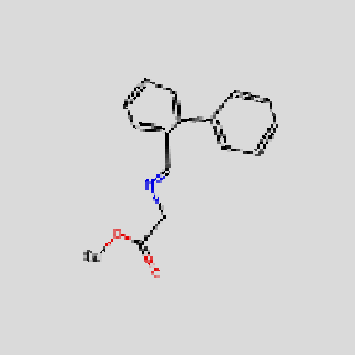 CC(C)(C)OC(=O)CN=Cc1ccccc1-c1ccccc1